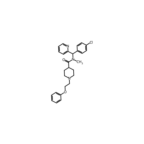 CN(C(=O)C1CCN(CCOc2ccccc2)CC1)C(c1ccc(Cl)cc1)c1ccccn1